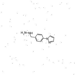 NNCc1ccc(-n2cccn2)cc1